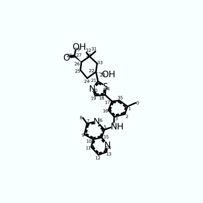 Cc1cc(Nc2nc(C)cc3cccnc23)cc(-c2cnc([C@@]3(O)CC[C@@H](C(=O)O)C(C)(C)C3)s2)c1